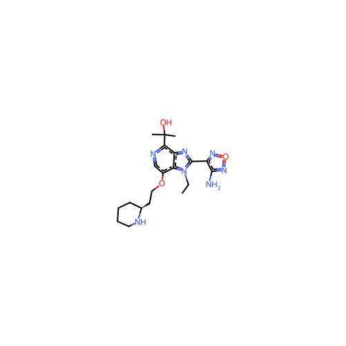 CCn1c(-c2nonc2N)nc2c(C(C)(C)O)ncc(OCC[C@@H]3CCCCN3)c21